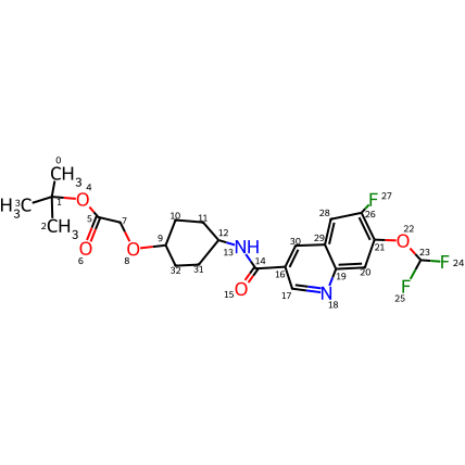 CC(C)(C)OC(=O)COC1CCC(NC(=O)c2cnc3cc(OC(F)F)c(F)cc3c2)CC1